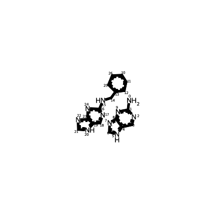 Nc1ncc2[nH]cnc2n1.c1ccc(CNc2ncc3[nH]cnc3n2)cc1